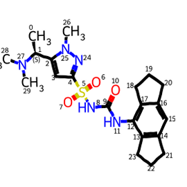 C[C@@H](c1cc(S(=O)(=O)NC(=O)Nc2c3c(cc4c2CCC4)CCC3)nn1C)N(C)C